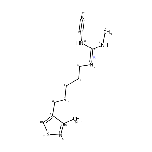 CN/C(=N/CCCSCc1csnc1C)NC#N